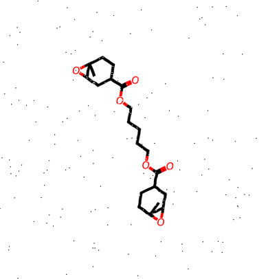 CC12CCC(C(=O)OCCCCCOC(=O)C3CCC4(C)OC4C3)CC1O2